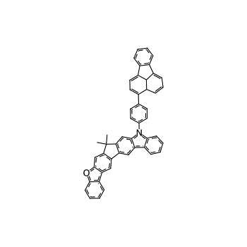 CC1(C)c2cc3oc4ccccc4c3cc2-c2cc3c4ccccc4n(-c4ccc(C5=CC=C6c7ccccc7C7=CC=CC5C76)cc4)c3cc21